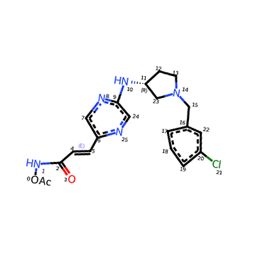 CC(=O)ONC(=O)/C=C/c1cnc(N[C@@H]2CCN(Cc3cccc(Cl)c3)C2)cn1